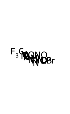 Cn1nc(C(F)(F)F)cc1Oc1ncnc(N2CCC(Br)CC2)c1[N+](=O)[O-]